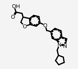 O=C(O)CC1COc2cc(OCc3ccc4cnn(CC5CCCC5)c4c3)ccc21